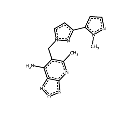 Cc1nc2nonc2c(N)c1Cn1ccc(-c2ccnn2C)n1